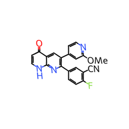 COc1cc(-c2cc3c(=O)cc[nH]c3nc2-c2ccc(F)c(C#N)c2)ccn1